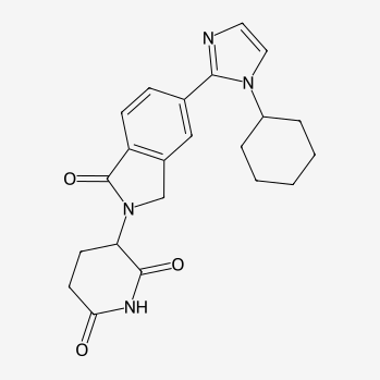 O=C1CCC(N2Cc3cc(-c4nccn4C4CCCCC4)ccc3C2=O)C(=O)N1